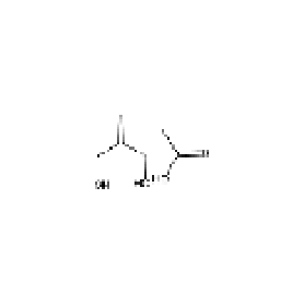 C=C(CO)CO.CC(=O)O